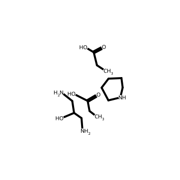 C1CCNCC1.CCC(=O)O.CCC(=O)O.NCC(O)CN